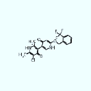 Cc1[nH]c(C)c(-c2c[nH]c(OCc3ccccc3C(F)(F)F)cc2=O)c(=O)c1Cl